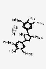 CCCCCCC1=C(c2cc(CCCCCC)c(CCCC)c(CCCCCC)c2)[N+](=[N-])C(c2cc(CCCCCC)c(CCCC)c(CCCCCC)c2)=C1.C[CH2][Ni][CH2]C